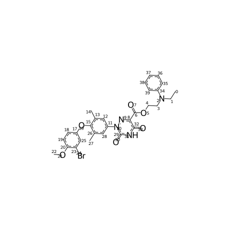 CCN(CCOC(=O)c1nn(-c2cc(C)c(Oc3ccc(OC)c(Br)c3)c(C)c2)c(=O)[nH]c1=O)c1ccccc1